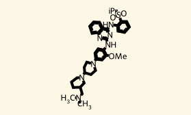 COc1cc(N2CCC(N3CCCC(CN(C)C)C3)CC2)ccc1Nc1nc(Nc2ccccc2S(=O)(=O)C(C)C)c2ccccc2n1